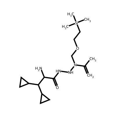 C=C(C)N(COCC[Si](C)(C)C)NNC(=O)C(N)C(C1CC1)C1CC1